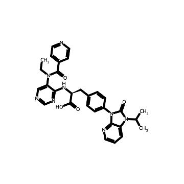 CCN(C(=O)c1ccncc1)c1cncnc1N[C@@H](Cc1ccc(-n2c(=O)n(C(C)C)c3cccnc32)cc1)C(=O)O